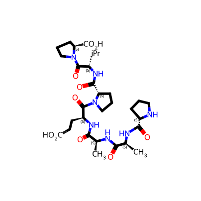 CC(C)[C@H](NC(=O)[C@@H]1CCCN1C(=O)[C@H](CCC(=O)O)NC(=O)[C@H](C)NC(=O)[C@H](C)NC(=O)[C@@H]1CCCN1)C(=O)N1CCC[C@H]1C(=O)O